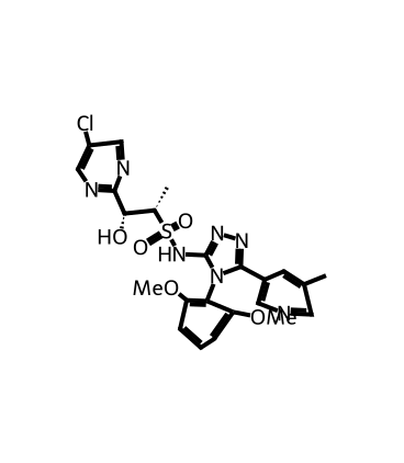 COc1cccc(OC)c1-n1c(NS(=O)(=O)[C@@H](C)[C@H](O)c2ncc(Cl)cn2)nnc1-c1cncc(C)c1